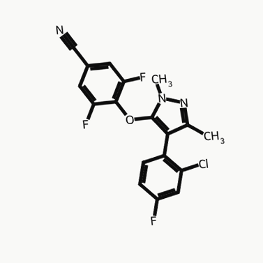 Cc1nn(C)c(Oc2c(F)cc(C#N)cc2F)c1-c1ccc(F)cc1Cl